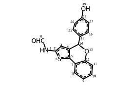 O=CNc1cc2c(s1)-c1ccccc1OC2c1ccc(O)cc1